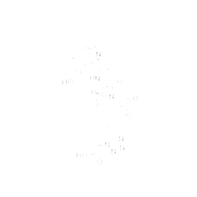 O=C(O)Cn1nnnc1SCC1=C(C(=O)O)N2C(=O)C(NC(=O)/C(=N/O)c3cccc(O)c3)[C@H]2SC1